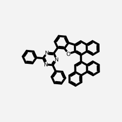 c1ccc(-c2nc(-c3ccccc3)nc(-c3cccc4c3oc3c(-c5cc6ccccc6c6ccccc56)c5ccccc5cc34)n2)cc1